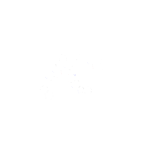 CC(C)(C)OC(=O)NCCCC[C@H](NC(=O)[C@H](Cc1ccc(OC(C)(C)C)cc1)NC(=O)[C@@H](N)Cc1cccc2ccccc12)C(=O)N[C@@H](Cc1c[nH]c2ccccc12)C(N)=O